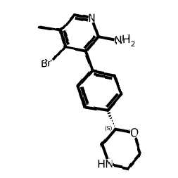 Cc1cnc(N)c(-c2ccc([C@H]3CNCCO3)cc2)c1Br